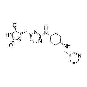 O=C1NC(=O)/C(=C/c2ccnc(N[C@H]3CC[C@H](NCc4cccnc4)CC3)n2)S1